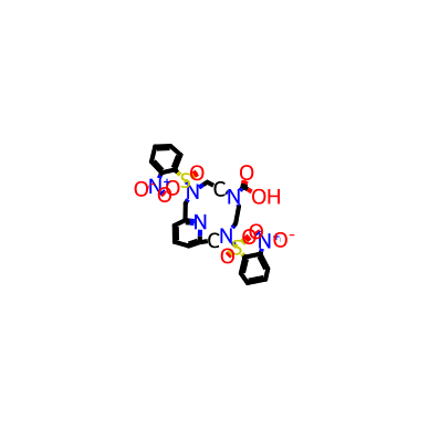 O=C(O)N1CCN(S(=O)(=O)c2ccccc2[N+](=O)[O-])Cc2cccc(n2)CN(S(=O)(=O)c2ccccc2[N+](=O)[O-])CC1